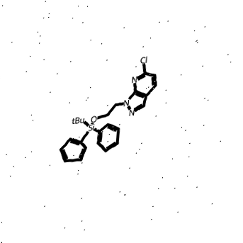 CC(C)(C)[Si](OCCn1ncc2ccc(Cl)nc21)(c1ccccc1)c1ccccc1